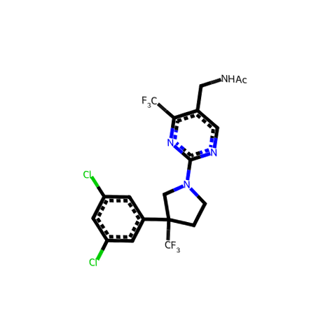 CC(=O)NCc1cnc(N2CCC(c3cc(Cl)cc(Cl)c3)(C(F)(F)F)C2)nc1C(F)(F)F